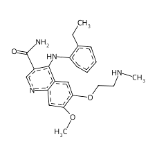 CCc1ccccc1Nc1c(C(N)=O)cnc2cc(OC)c(OCCNC)cc12